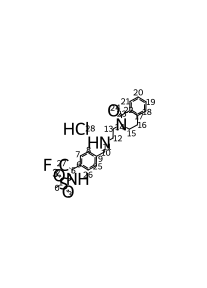 CS(=O)(=O)N[C@@H](c1ccc(CNCCN2CCc3ccccc3C2=O)cc1)C(F)(F)F.Cl